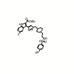 CC(C)COC(=O)c1[nH]c2ccc(F)cc2c1-c1cn(CC2CCN(CCNS(=O)(=O)c3ccc(C(C)C)cc3)CC2)nn1